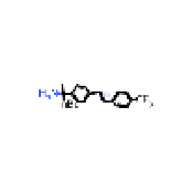 CCCCC(C)(N)c1ccc(/C=C/c2ccc(C(F)(F)F)cc2)cc1